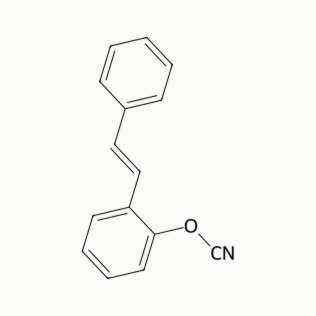 N#COc1ccccc1C=Cc1ccccc1